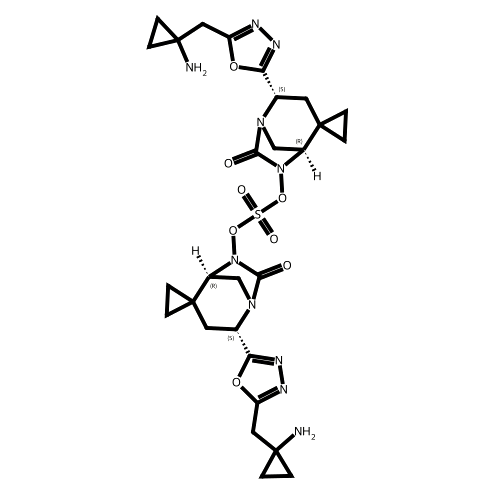 NC1(Cc2nnc([C@@H]3CC4(CC4)[C@@H]4CN3C(=O)N4OS(=O)(=O)ON3C(=O)N4C[C@H]3C3(CC3)C[C@H]4c3nnc(CC4(N)CC4)o3)o2)CC1